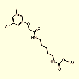 CC(=O)c1cc(C)cc(OCC(=O)NCCCCCNC(=O)OC(C)(C)C)c1